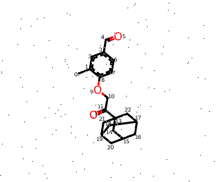 Cc1cc(C=O)ccc1OCC(=O)C12CC3CC(CC(C3)C1)C2